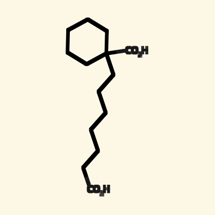 O=C(O)CCCCCCC1(C(=O)O)CCCCC1